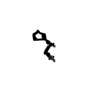 [SiH3]O[SiH2][Si]1=CCCC1